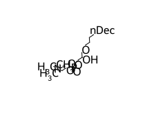 CCCCCCCCCCCCCCOC[C@H](O)COP(=O)([O-])OCC[N+](C)(C)C